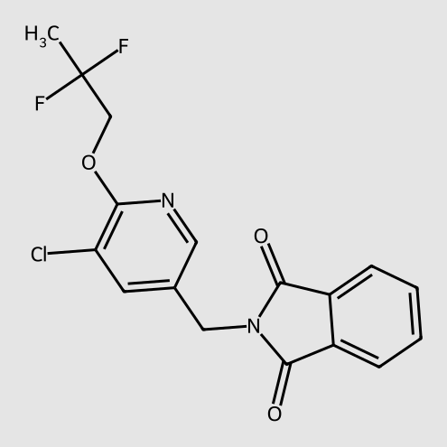 CC(F)(F)COc1ncc(CN2C(=O)c3ccccc3C2=O)cc1Cl